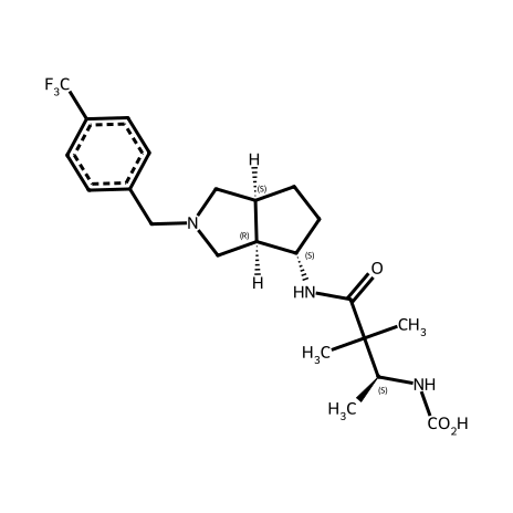 C[C@H](NC(=O)O)C(C)(C)C(=O)N[C@H]1CC[C@@H]2CN(Cc3ccc(C(F)(F)F)cc3)C[C@@H]21